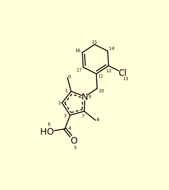 Cc1cc(C(=O)O)c(C)n1CC1=C(Cl)CCC=C1